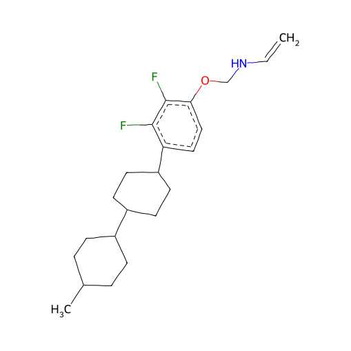 C=CNCOc1ccc(C2CCC(C3CCC(C)CC3)CC2)c(F)c1F